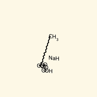 CCCCCCCCCCCCCCCCCCN1C(=O)CC(S(=O)(=O)O)C1=O.[NaH]